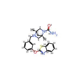 NC(=O)N1C[C@@H]2C[C@H]1CN2Cc1cccc(Oc2nc3ccccc3s2)c1